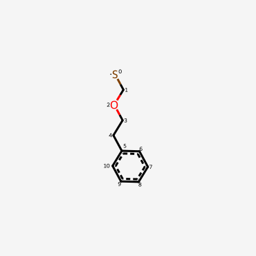 [S]COCCc1ccccc1